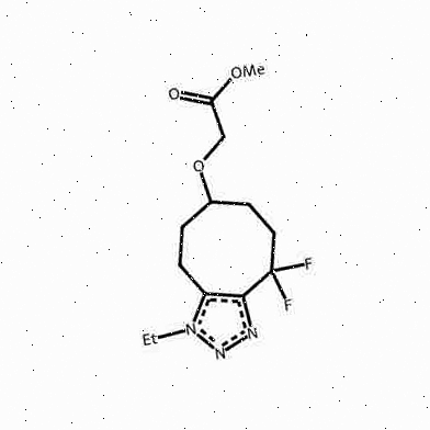 CCn1nnc2c1CCC(OCC(=O)OC)CCC2(F)F